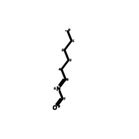 [CH2]CCCC/[C]=N/C=O